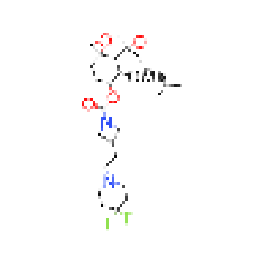 COC1C(OC(=O)N2CC(CCN3CCC(F)(F)CC3)C2)CCC2(CO2)C1[C@@]1(C)O[C@@H]1CC=C(C)C